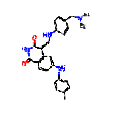 CCN(CC)Cc1ccc(N/C=C2\C(=O)NC(=O)c3ccc(Nc4ccc(C)cc4)cc32)cc1